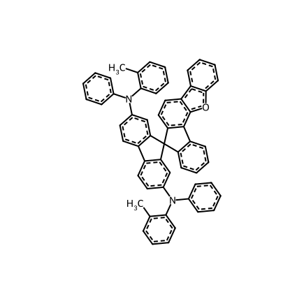 Cc1ccccc1N(c1ccccc1)c1ccc2c(c1)C1(c3cc(N(c4ccccc4)c4ccccc4C)ccc3-2)c2ccccc2-c2c1ccc1c2oc2ccccc21